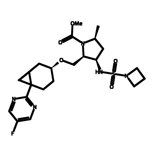 COC(=O)N1[C@H](CO[C@@H]2CCC3(c4ncc(F)cn4)CC3C2)[C@H](NS(=O)(=O)N2CCC2)C[C@@H]1C